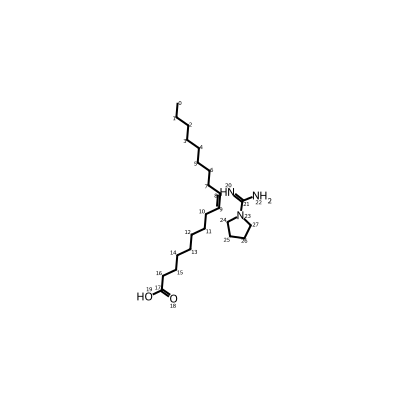 CCCCCCCC/C=C\CCCCCCCC(=O)O.N=C(N)N1CCCC1